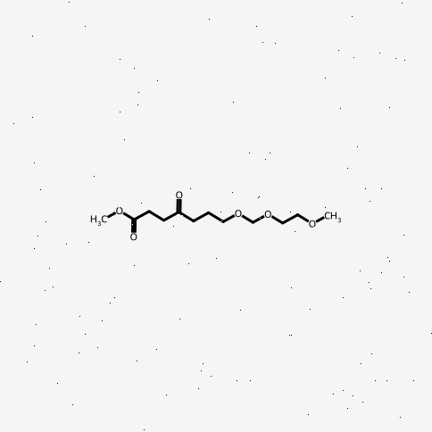 COCCOCOCCCC(=O)CCC(=O)OC